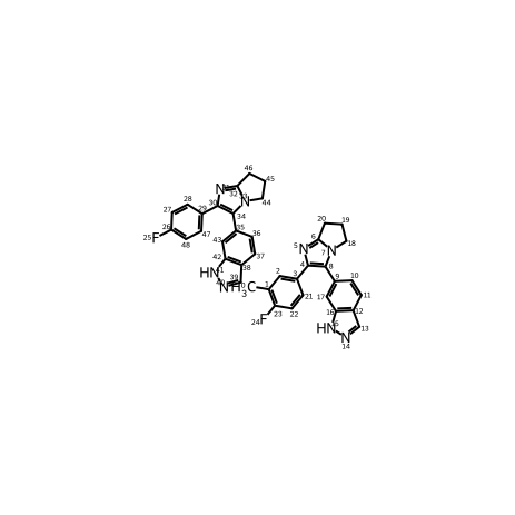 Cc1cc(-c2nc3n(c2-c2ccc4cn[nH]c4c2)CCC3)ccc1F.Fc1ccc(-c2nc3n(c2-c2ccc4cn[nH]c4c2)CCC3)cc1